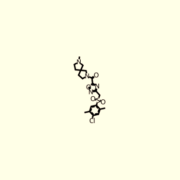 Cc1cc(S(=O)(=O)Cc2noc(C(=O)N3CCC4(CCN(C)C4)C3)n2)c(C)cc1Cl